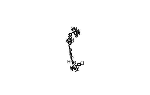 COc1cc([C@@H](CC(=O)O)c2ccc(C)c(CN3C[C@@H](C)Oc4cc(CCCOCCOCCOCCNC(=O)C[C@@H]5N=C(c6ccc(Cl)cc6)c6c(sc(C)c6C)-n6c(C)nnc65)ccc4S3(=O)=O)c2)cc2nnn(C)c12